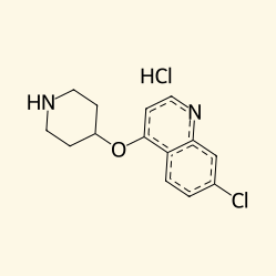 Cl.Clc1ccc2c(OC3CCNCC3)ccnc2c1